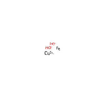 [Cu+2].[Fe].[OH-].[OH-]